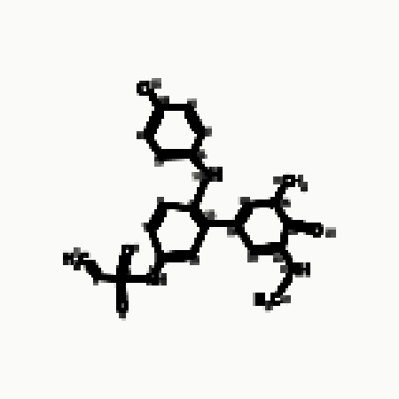 C=CS(=O)(=O)Nc1ccc(Nc2ccc(Cl)cc2)c(-c2cc(NC)c(=O)n(C)c2)c1